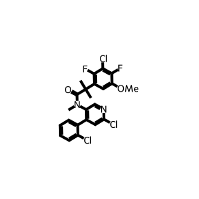 COc1cc(C(C)(C)C(=O)N(C)c2cnc(Cl)cc2-c2ccccc2Cl)c(F)c(Cl)c1F